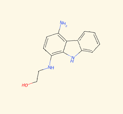 Nc1ccc(NCCO)c2[nH]c3ccccc3c12